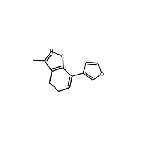 Cc1noc2c1CCC=C2c1ccoc1